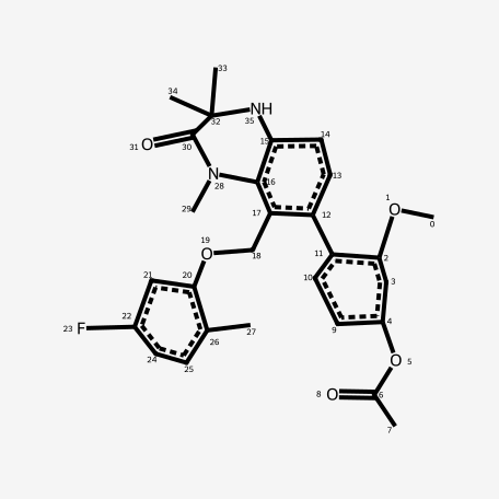 COc1cc(OC(C)=O)ccc1-c1ccc2c(c1COc1cc(F)ccc1C)N(C)C(=O)C(C)(C)N2